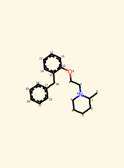 CC1CCCCN1CCOc1ccccc1Cc1ccccc1